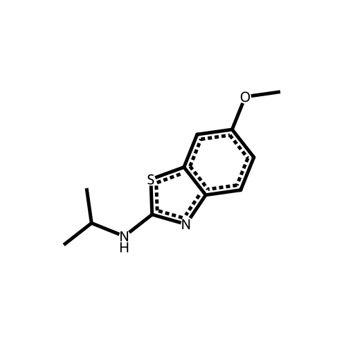 COc1ccc2nc(NC(C)C)sc2c1